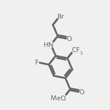 COC(=O)c1cc(F)c(NC(=O)CBr)c(C(F)(F)F)c1